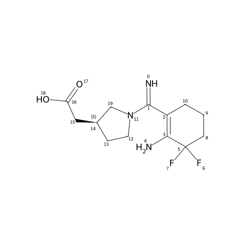 N=C(C1=C(N)C(F)(F)CCC1)N1CC[C@@H](CC(=O)O)C1